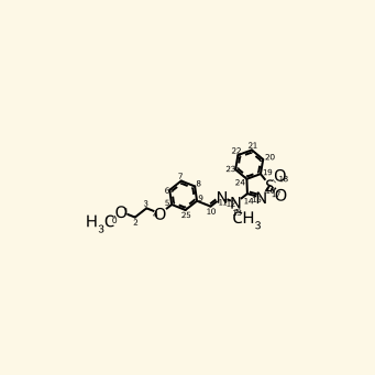 COCCOc1cccc(/C=N/N(C)C2=NS(=O)(=O)c3ccccc32)c1